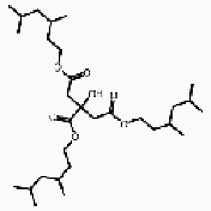 CC(C)CC(C)CCOC(=O)CC(O)(CC(=O)OCCC(C)CC(C)C)C(=O)OCCC(C)CC(C)C